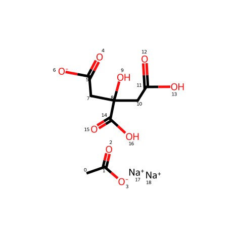 CC(=O)[O-].O=C([O-])CC(O)(CC(=O)O)C(=O)O.[Na+].[Na+]